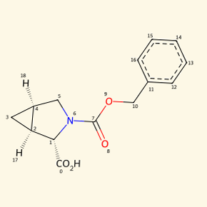 O=C(O)[C@@H]1[C@H]2C[C@H]2CN1C(=O)OCc1ccccc1